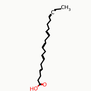 CCC=C=CCCCC=CCC=CCC=CCC=CCCC(=O)O